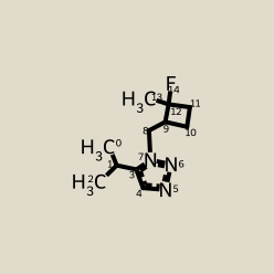 CC(C)c1cnnn1CC1CCC1(C)F